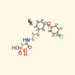 O=C(CP(=O)(O)O)NCCCc1cccc(Oc2ccc(Cl)cc2)c1.[K].[K]